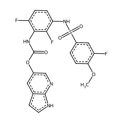 COc1ccc(S(=O)(=O)Nc2ccc(F)c(NC(=O)Oc3cnc4[nH]ccc4c3)c2F)cc1F